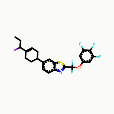 CCC(I)C1=CCC(c2ccc3nc(C(F)(F)Oc4cc(F)c(F)c(F)c4)sc3c2)CC1